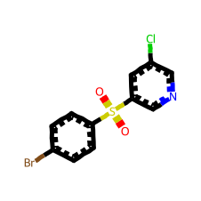 O=S(=O)(c1ccc(Br)cc1)c1cncc(Cl)c1